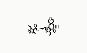 CCc1noc(C)c1C(=O)OCCCn1nc(CC)c2c1CC1(CCOCC1)CNC2=O